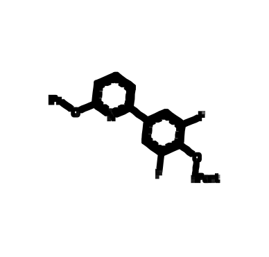 CCCCCOc1c(F)cc(-c2cccc(OC(C)C)n2)cc1F